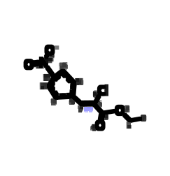 CCOC(=O)/C(Cl)=C/c1ccc([N+](=O)[O-])cc1